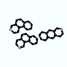 c1ccc2c(c1)ccc1ccncc12.c1ccc2c(c1)ccc1cnccc12.c1ccc2cc3cnccc3cc2c1